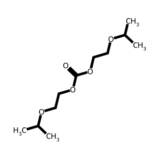 CC(C)OCCOC(=O)OCCOC(C)C